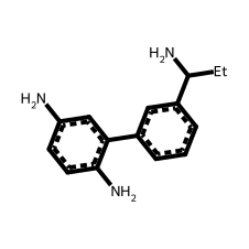 CCC(N)c1cccc(-c2cc(N)ccc2N)c1